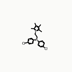 Cc1c(C)c(C)p(CCP(c2ccc(Cl)cc2)c2ccc(Cl)cc2)c1C